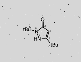 CC(C)(C)c1cc(=O)n(C(C)(C)C)[nH]1